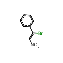 O=[N+]([O-])C=C(Br)c1ccccc1